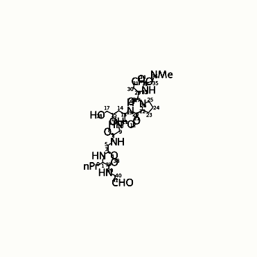 CCCC(NC(=O)CNC(=O)CNC(=O)C(CC(O)CO)NC(=O)C1CCCN1C(=O)C(CC=O)NC(=O)CNC)C(=O)NCC=O